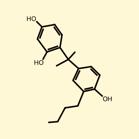 CCCCc1cc(C(C)(C)c2ccc(O)cc2O)ccc1O